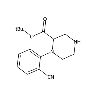 CC(C)(C)OC(=O)C1CNCCN1c1ccccc1C#N